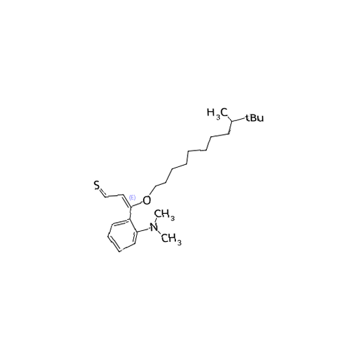 CC(CCCCCCCCO/C(=C/C=S)c1ccccc1N(C)C)C(C)(C)C